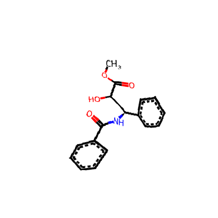 COC(=O)C(O)[C@H](NC(=O)c1ccccc1)c1ccccc1